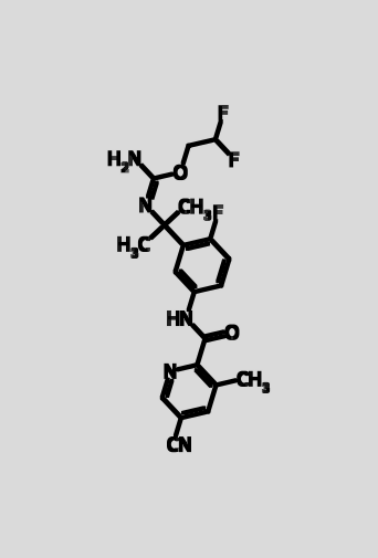 Cc1cc(C#N)cnc1C(=O)Nc1ccc(F)c(C(C)(C)/N=C(/N)OCC(F)F)c1